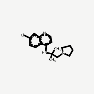 CC(C)(CN1CCCC1)Nc1ccnc2cc(Cl)ccc12